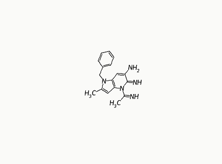 CC(=N)n1c(=N)c(N)cc2c1cc(C)n2Cc1ccccc1